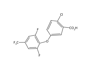 O=C(O)c1cc(Oc2c(F)cc(C(F)(F)F)cc2F)ccc1Cl